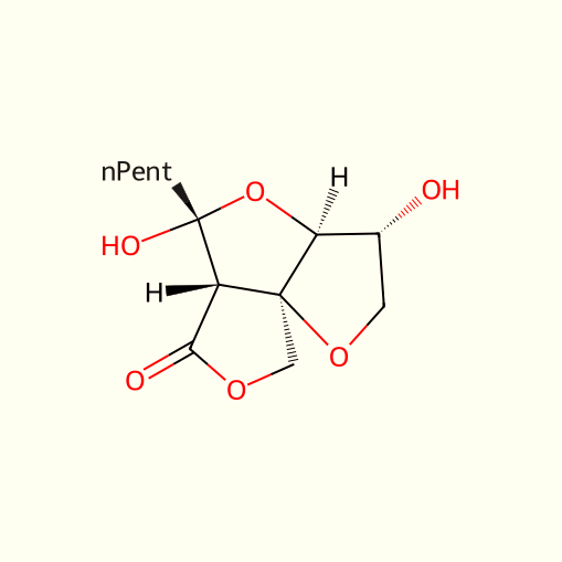 CCCCC[C@@]1(O)O[C@H]2[C@H](O)CO[C@]23COC(=O)[C@@H]31